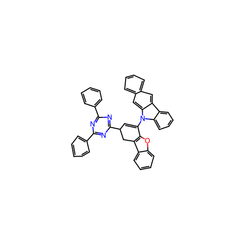 C1=C(n2c3ccccc3c3cc4ccccc4cc32)c2oc3ccccc3c2CC1c1nc(-c2ccccc2)nc(-c2ccccc2)n1